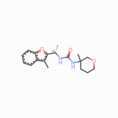 Cc1c([C@H](C)NC(=O)NC2(C)CCCOC2)oc2ccccc12